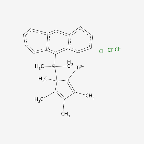 CC1=C(C)C(C)([Si](C)(C)c2c3ccccc3cc3ccccc23)[C]([Ti+3])=C1C.[Cl-].[Cl-].[Cl-]